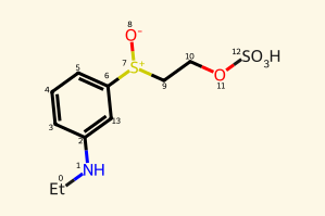 CCNc1cccc([S+]([O-])CCOS(=O)(=O)O)c1